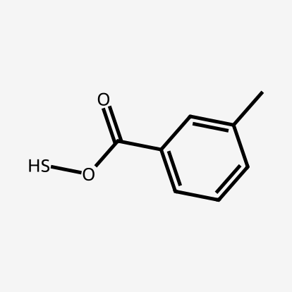 Cc1cccc(C(=O)OS)c1